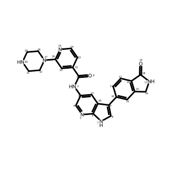 O=C(Nc1cnc2[nH]cc(-c3ccc4c(c3)CNC4=O)c2c1)c1ccnc(N2CCNCC2)c1